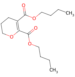 CCCCOC(=O)C1=C(C(=O)OCCCC)OCCC1